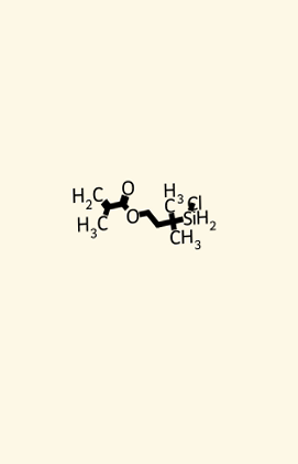 C=C(C)C(=O)OCCC(C)(C)[SiH2]Cl